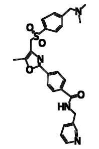 Cc1oc(-c2ccc(C(=O)NCc3cccnc3)cc2)nc1CS(=O)(=O)c1ccc(CN(C)C)cc1